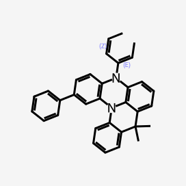 C/C=C\C(=C/C)N1c2ccc(-c3ccccc3)cc2N2c3ccccc3C(C)(C)c3cccc1c32